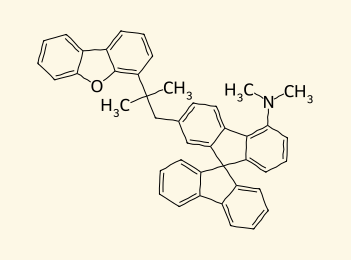 CN(C)c1cccc2c1-c1ccc(CC(C)(C)c3cccc4c3oc3ccccc34)cc1C21c2ccccc2-c2ccccc21